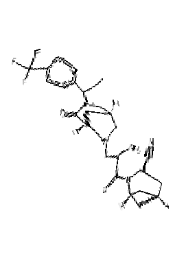 CC(c1ccc(C(F)(F)F)cc1)N1C(=O)[C@@H]2C[C@@H]1CN2CC(N)C(=O)N1C(C#N)C[C@@H]2C[C@@H]21